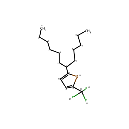 CCCCCCC(CCCCC)c1ccc(C(F)(F)F)s1